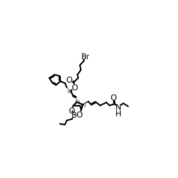 CCCCB1OC2CC(O1)[C@H](CC=CCCCC(=O)NCC)[C@H]2C=C[C@H](CCc1ccccc1)OC(=O)CCCCCBr